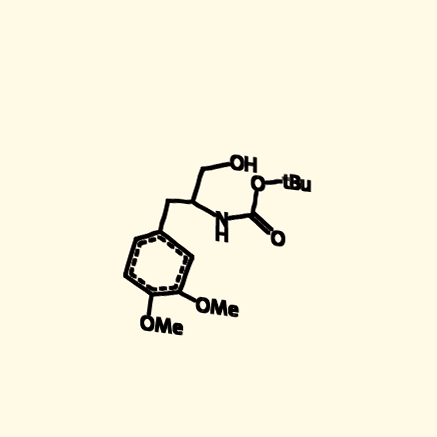 COc1ccc(CC(CO)NC(=O)OC(C)(C)C)cc1OC